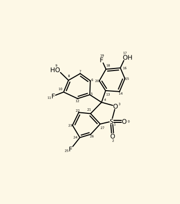 O=S1(=O)OC(c2ccc(O)c(F)c2)(c2ccc(O)c(F)c2)c2ccc(F)cc21